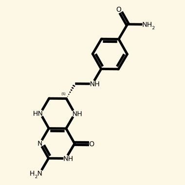 NC(=O)c1ccc(NC[C@H]2CNc3nc(N)[nH]c(=O)c3N2)cc1